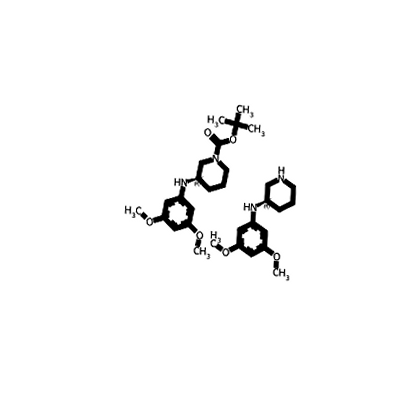 COc1cc(N[C@@H]2CCCN(C(=O)OC(C)(C)C)C2)cc(OC)c1.COc1cc(N[C@@H]2CCCNC2)cc(OC)c1